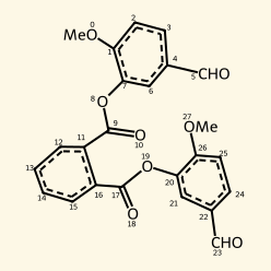 COc1ccc(C=O)cc1OC(=O)c1ccccc1C(=O)Oc1cc(C=O)ccc1OC